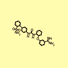 N=C(N)c1cccc(Oc2ccccc2NC(=O)Nc2ccc(-c3ccccc3S(N)(=O)=O)cc2)c1